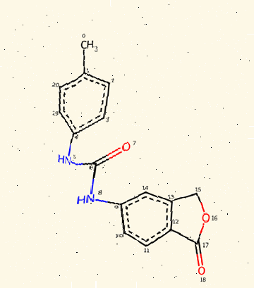 Cc1ccc(NC(=O)Nc2ccc3c(c2)COC3=O)cc1